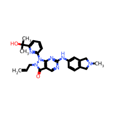 C=CCn1c(=O)c2cnc(Nc3ccc4c(c3)CN(C)C4)nc2n1-c1cccc(C(C)(C)O)n1